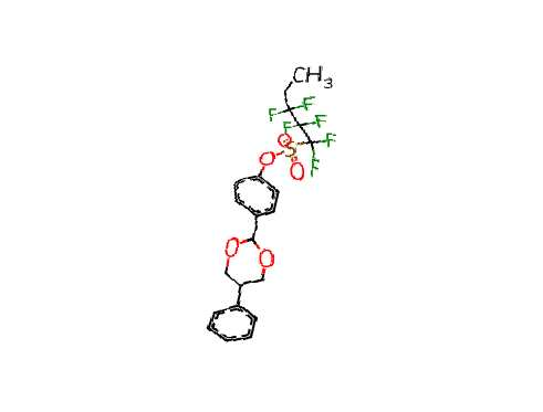 CCC(F)(F)C(F)(F)C(F)(F)S(=O)(=O)Oc1ccc(C2OCC(c3ccccc3)CO2)cc1